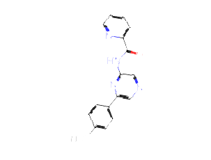 Cc1ccc(-c2cncc(NC(=O)c3ccccn3)n2)cc1